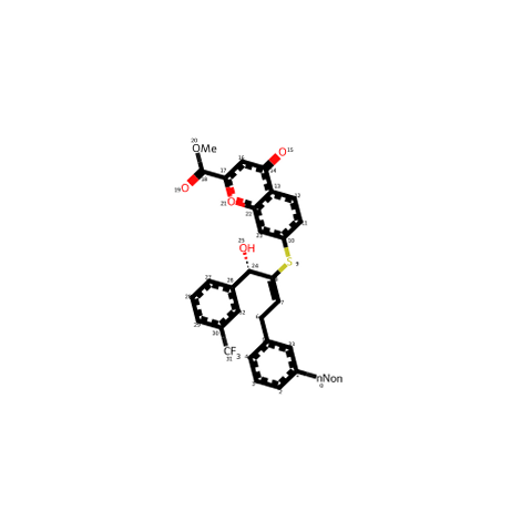 CCCCCCCCCc1cccc(CC=C(Sc2ccc3c(=O)cc(C(=O)OC)oc3c2)[C@@H](O)c2cccc(C(F)(F)F)c2)c1